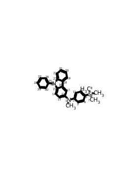 CN(c1ccc([Si](C)(C)C)cc1)c1ccc2c(c1)c1ccccc1n2-c1ccccc1